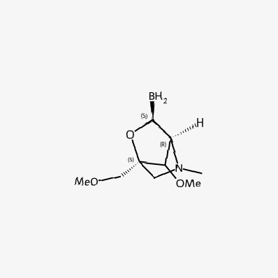 B[C@@H]1O[C@]2(COC)CN(C)[C@H]1C2OC